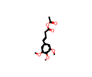 COc1cc(C=CCC(=O)OC(C)=O)cc(OC)c1OC